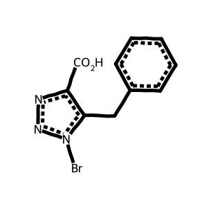 O=C(O)c1nnn(Br)c1Cc1ccccc1